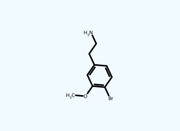 COc1cc(CCN)ccc1Br